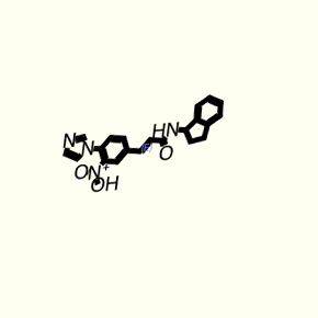 O=C(/C=C/c1ccc(-n2ccnc2)c([N+](=O)O)c1)NC1CCc2ccccc21